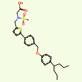 CCCC(CCC)c1ccc(OCc2ccc(-c3ccc(CN(CC(=O)O)S(C)(=O)=O)s3)cc2)cc1